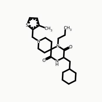 CCCN1C(=O)C(CC2CCCCC2)NC(=O)C12CCN(Cc1sccc1C)CC2